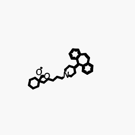 COC(=O)C1(CCCCCN2CCC(=C3c4ccccc4C=Cc4ccccc43)CC2)CCCCC1